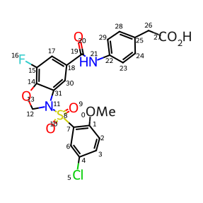 COc1ccc(Cl)cc1S(=O)(=O)N1COc2c(F)cc(C(=O)Nc3ccc(CC(=O)O)cc3)cc21